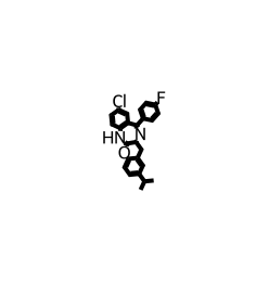 CC(C)c1cccc(CC2N=C(c3ccc(F)cc3)c3cc(Cl)ccc3NC2=O)c1